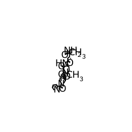 C[C@@H]1CC[C@H](NC(=O)[CH]C[C@H](C)C(N)=O)C(=O)CN1S(=O)(=O)N1CCN(C(=O)c2ccccn2)CC1